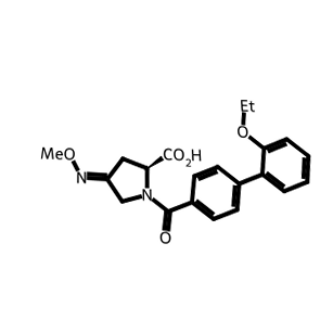 CCOc1ccccc1-c1ccc(C(=O)N2CC(=NOC)C[C@H]2C(=O)O)cc1